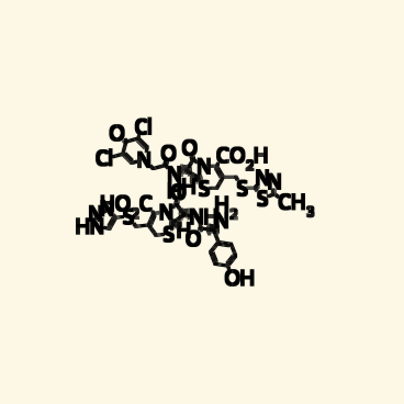 Cc1nnc(SCC2=C(C(=O)O)N3C(=O)[C@@H](NC(=O)Cn4cc(Cl)c(=O)c(Cl)c4)[C@H]3SC2)s1.N[C@@H](C(=O)N[C@@H]1C(=O)N2C(C(=O)O)=C(CSc3c[nH]nn3)CS[C@H]12)c1ccc(O)cc1